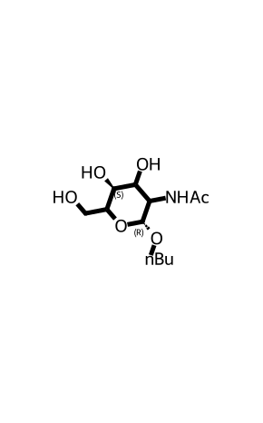 CCCCO[C@@H]1OC(CO)[C@@H](O)C(O)C1NC(C)=O